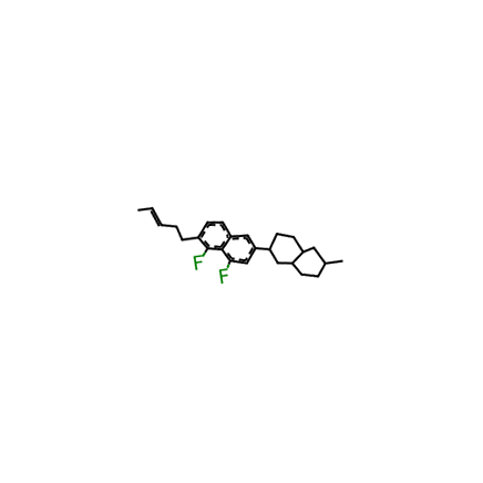 CC=CCCc1ccc2cc(C3CCC4CC(C)CCC4C3)cc(F)c2c1F